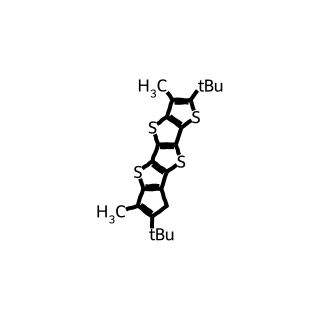 CC1=C(C(C)(C)C)Cc2c1sc1c2sc2c3sc(C(C)(C)C)c(C)c3sc12